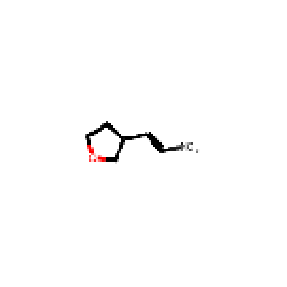 O=[N+]([O-])C=CC1CCOC1